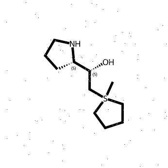 CS1(C[C@@H](O)[C@@H]2CCCN2)CCCC1